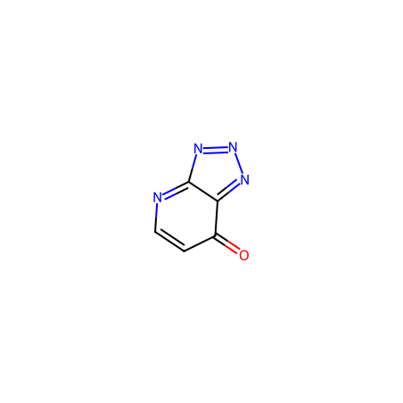 O=C1C=CN=C2N=NN=C12